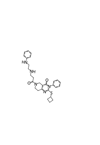 O=C(CCNCCNc1ccccc1)N1CCc2nc(SC3CCC3)n(-c3ccccc3)c(=O)c2C1